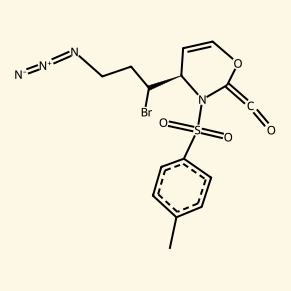 Cc1ccc(S(=O)(=O)N2C(=C=O)OC=C[C@@H]2C(Br)CCN=[N+]=[N-])cc1